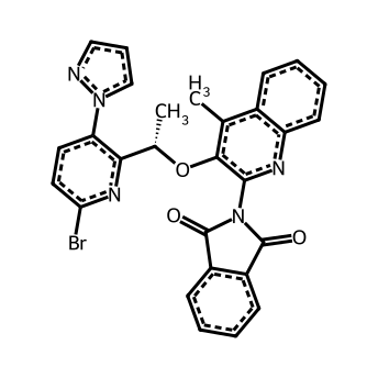 Cc1c(O[C@@H](C)c2nc(Br)ccc2-n2cccn2)c(N2C(=O)c3ccccc3C2=O)nc2ccccc12